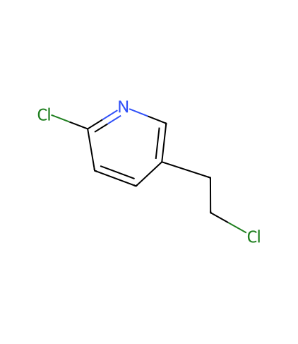 ClCCc1ccc(Cl)nc1